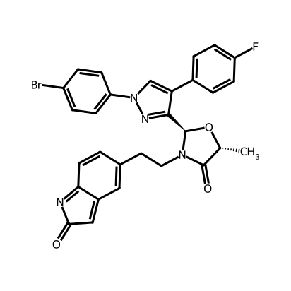 C[C@H]1O[C@H](c2nn(-c3ccc(Br)cc3)cc2-c2ccc(F)cc2)N(CCc2ccc3c(c2)=CC(=O)N=3)C1=O